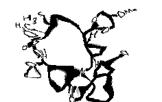 CO[C@H]1CO[C@@H]([C@@H]2CCC[C@H](C)[C@@H](C)S(=O)(=O)NC(=O)c3ccc4c(c3)N(C[C@@H]3CC[C@H]32)C[C@@]2(CCCc3cc(Cl)ccc32)CO4)OC1